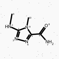 CNc1nnc(C(N)=O)n1C